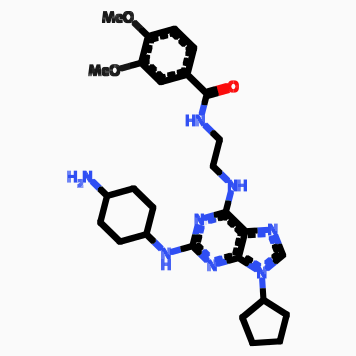 COc1ccc(C(=O)NCCNc2nc(NC3CCC(N)CC3)nc3c2ncn3C2CCCC2)cc1OC